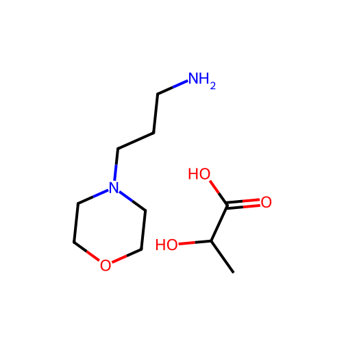 CC(O)C(=O)O.NCCCN1CCOCC1